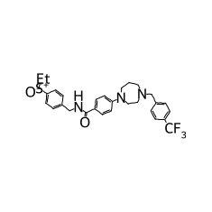 CC[S+]([O-])c1ccc(CNC(=O)c2ccc(N3CCCN(Cc4ccc(C(F)(F)F)cc4)CC3)cc2)cc1